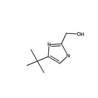 CC(C)(C)C1=C[N]C(CO)=N1